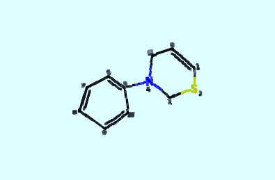 C1=CSCN(c2ccccc2)C1